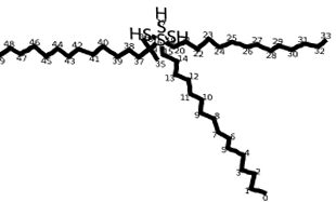 CCCCCCCCCCCCCCCCS(S)(S)(S)(CCCCCCCCCCCCCC)C(C)(C)CCCCCCCCCCCCC